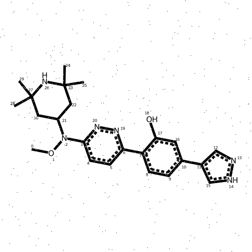 CON(c1ccc(-c2ccc(-c3cn[nH]c3)cc2O)nn1)C1CC(C)(C)NC(C)(C)C1